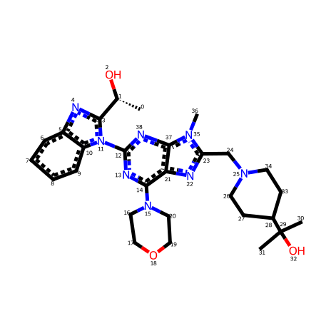 C[C@@H](O)c1nc2ccccc2n1-c1nc(N2CCOCC2)c2nc(CN3CCC(C(C)(C)O)CC3)n(C)c2n1